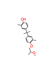 COC(C)COc1ccc(C(C)(C)c2ccc(O)c(C)c2)cc1C